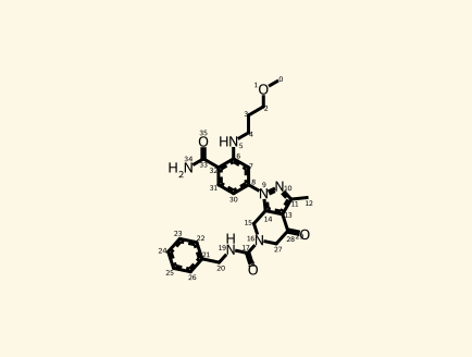 COCCCNc1cc(-n2nc(C)c3c2CN(C(=O)NCc2ccccc2)CC3=O)ccc1C(N)=O